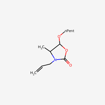 C=CCN1C(=O)OC(OCCCCC)C1C